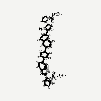 CC(C)(C)OC(=O)N1CCC[C@H]1c1ncc(-c2ccc3cc(-c4ccc(-c5ccc6nc([C@@H]7C8CC[C@H](C8)N7C(=O)OC(C)(C)C)[nH]c6c5)cc4)ccc3c2)[nH]1